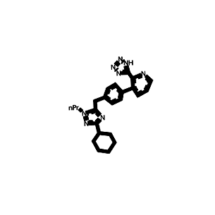 CCCn1nc(C2CCCCC2)nc1Cc1ccc(-c2cccnc2-c2nnn[nH]2)cc1